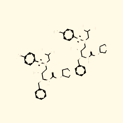 CC(C)CN(C[C@@H](O)[C@H](Cc1ccccc1)NC(=O)O[C@H]1CCOC1)S(=O)(=O)c1ccc(N)cc1.CC(C)CN(C[C@@H](O)[C@H](Cc1ccccc1)NC(=O)O[C@H]1CCOC1)S(=O)(=O)c1ccc(N)cc1